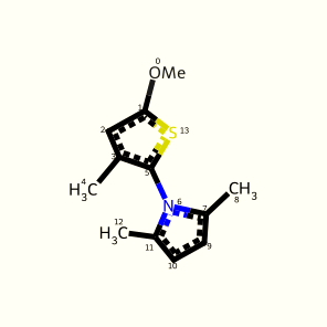 COc1cc(C)c(-n2c(C)ccc2C)s1